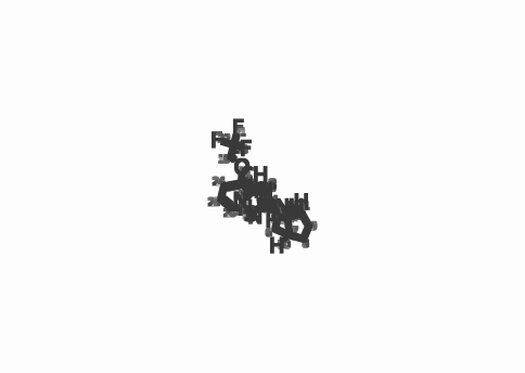 Cc1nsc(N2C[C@H]3CC[C@@H](C2)[C@@H]3Nc2nc3c(OCC(F)(F)F)cccn3n2)n1